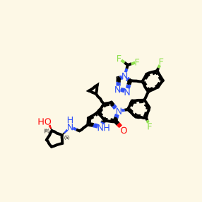 O=c1c2[nH]c(CN[C@H]3CCC[C@H]3O)cc2c(C2CC2)cn1-c1cc(F)cc(-c2ccc(F)cc2-c2nncn2C(F)F)c1